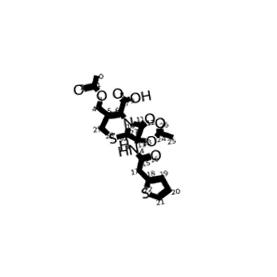 CC(=O)OCC1=C(C(=O)O)N2C(=O)[C@](NC(=O)Cc3cccs3)(OC(C)=O)[C@H]2SC1